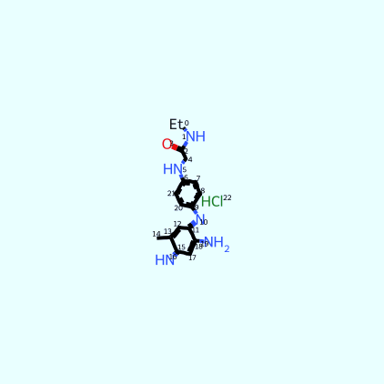 CCNC(=O)CNc1ccc(N=C2C=C(C)C(=N)C=C2N)cc1.Cl